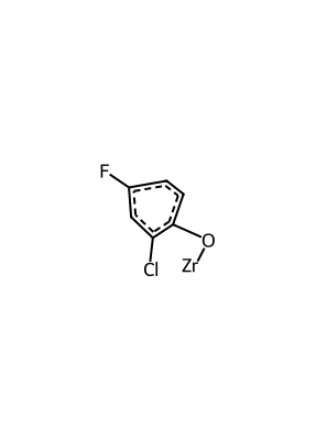 Fc1ccc([O][Zr])c(Cl)c1